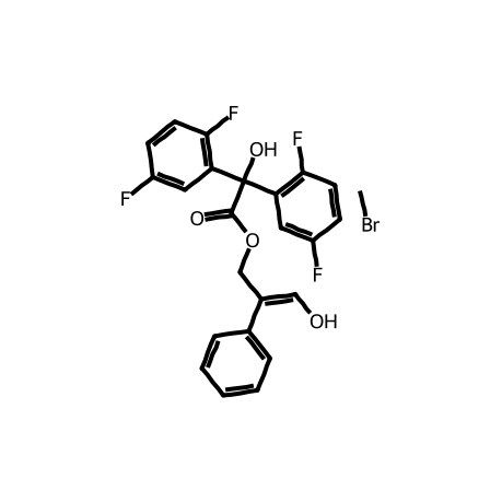 CBr.O=C(OCC(=CO)c1ccccc1)C(O)(c1cc(F)ccc1F)c1cc(F)ccc1F